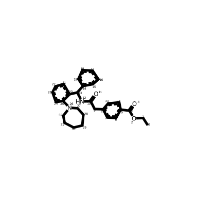 CCOC(=O)c1ccc(CC(=O)NC(c2ccccc2)c2ccccc2N2CCCCCC2)cc1